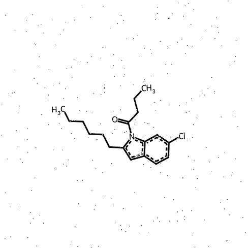 CCCCCCc1cc2ccc(Cl)cc2n1C(=O)CCC